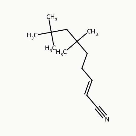 CC(C)(C)CC(C)(C)CCC=CC#N